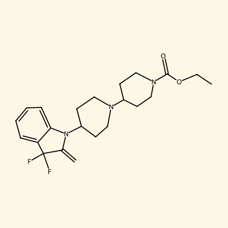 C=C1N(C2CCN(C3CCN(C(=O)OCC)CC3)CC2)c2ccccc2C1(F)F